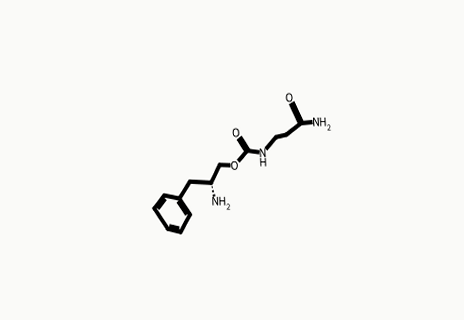 NC(=O)CCNC(=O)OC[C@H](N)Cc1ccccc1